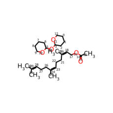 C1CCC(OC2CCCCO2)OC1.CC(=O)OCC=C(C)CCC=C(C)CCC=C(C)C